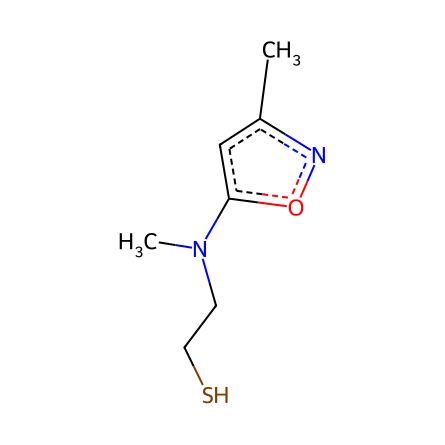 Cc1cc(N(C)CCS)on1